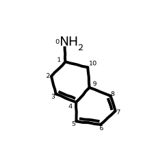 NC1CC=C2C=CC=CC2C1